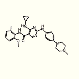 COc1cccc(C)c1NC(=O)c1cnc(Nc2ccc(N3CCN(C)CC3)cc2)nc1NC1CC1